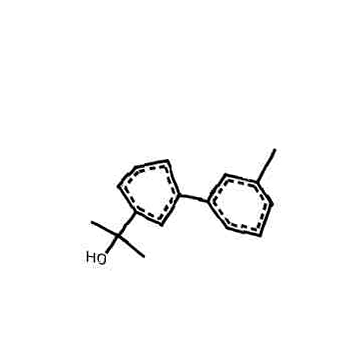 Cc1cccc(-c2cccc(C(C)(C)O)c2)c1